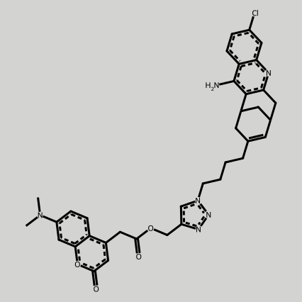 CN(C)c1ccc2c(CC(=O)OCc3cn(CCCCC4=CC5Cc6nc7cc(Cl)ccc7c(N)c6C(C4)C5)nn3)cc(=O)oc2c1